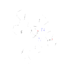 c1ccc(-c2ccc(-c3cccc4ccccc34)cc2N(c2ccc(-c3cc4ccccc4c4ccccc34)cc2)c2ccccc2-n2c3ccccc3c3ccccc32)cc1